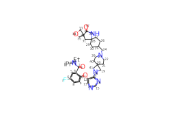 CCN(C(=O)c1cc(F)ccc1Oc1cncnc1N1CC2(CCN(CC3CCC4(CC3)CC3(COC3)C(=O)N4)CC2)C1)C(C)C